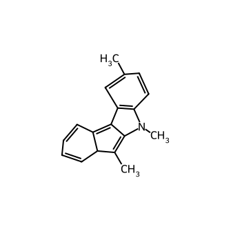 CC1=c2c(c3cc(C)ccc3n2C)=C2C=CC=CC21